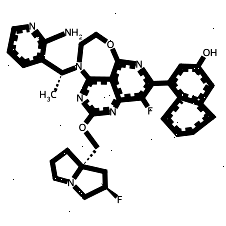 C[C@H](c1cccnc1N)N1CCOc2nc(-c3cc(O)cc4ccccc34)c(F)c3nc(OC[C@@]45CCCN4C[C@H](F)C5)nc1c23